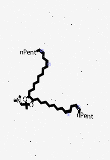 CCCCC/C=C\C/C=C\CCCCCCCC1OC(C)(CN(C)C)OC1CCCCCCC/C=C\C/C=C\CCCCC